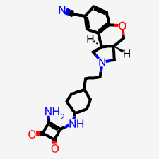 N#Cc1ccc2c(c1)[C@@H]1CN(CCC3CCC(Nc4c(N)c(=O)c4=O)CC3)C[C@H]1CO2